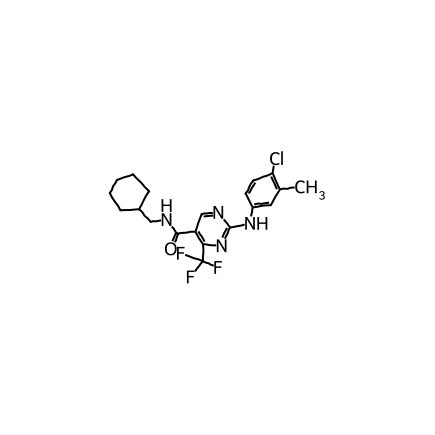 Cc1cc(Nc2ncc(C(=O)NCC3CCCCC3)c(C(F)(F)F)n2)ccc1Cl